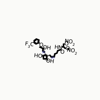 O=C(CCC/C=C\C[C@@H]1[C@@H](/C=C/[C@@H](O)COc2cccc(C(F)(F)F)c2)[C@H](O)C[C@@H]1O)NC(CO[N+](=O)[O-])CO[N+](=O)[O-]